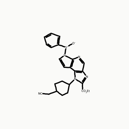 CCOC(=O)c1nc2cnc3c(ccn3[S+]([O-])c3ccccc3)c2n1C1CCC(CC#N)CC1